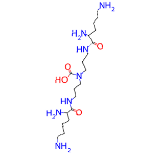 NCCCCC(N)C(=O)NCCCN(CCCNC(=O)C(N)CCCCN)C(=O)O